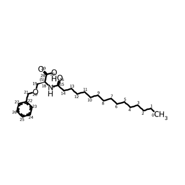 CCCCCCCCCCCCCCCC(=O)N[C@@H](COCc1ccccc1)C(=O)O